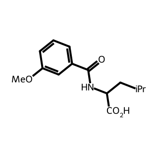 COc1cccc(C(=O)NC(CC(C)C)C(=O)O)c1